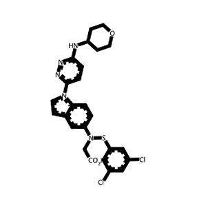 O=C(O)CN(Sc1cc(Cl)cc(Cl)c1)c1ccc2c(ccn2-c2ccc(NC3CCOCC3)nn2)c1